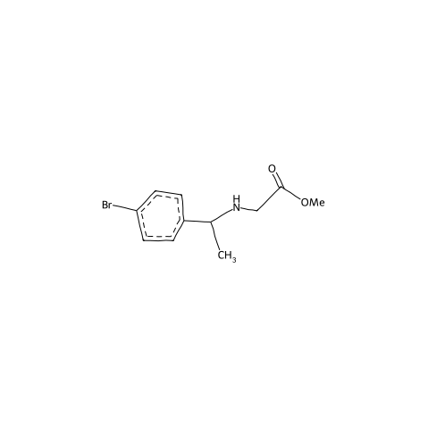 COC(=O)CNC(C)c1ccc(Br)cc1